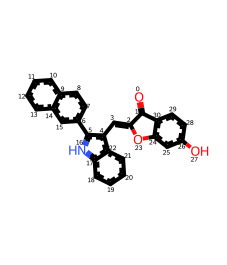 O=C1/C(=C/c2c(-c3ccc4ccccc4c3)[nH]c3ccccc23)Oc2cc(O)ccc21